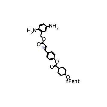 CCCCCOC1CCC(C(=O)Oc2ccc(/C=C/C(=O)OCc3cc(N)ccc3N)cc2)CC1